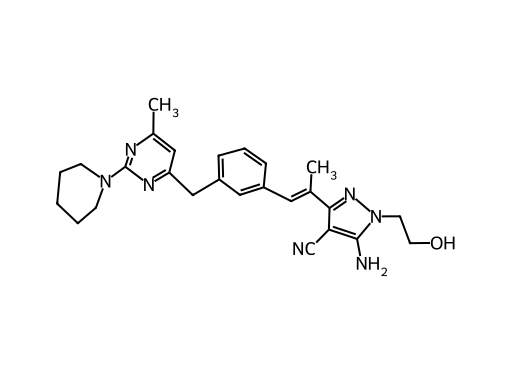 C/C(=C\c1cccc(Cc2cc(C)nc(N3CCCCC3)n2)c1)c1nn(CCO)c(N)c1C#N